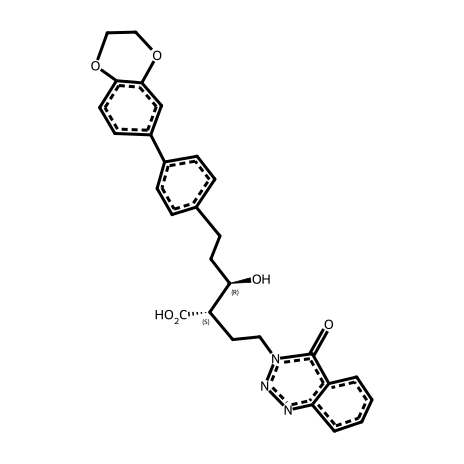 O=C(O)[C@@H](CCn1nnc2ccccc2c1=O)[C@H](O)CCc1ccc(-c2ccc3c(c2)OCCO3)cc1